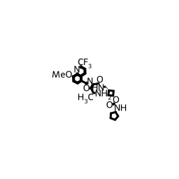 COc1ccc(-c2nc(C(=O)NC[C@H]3C[C@@H](OC(=O)NC4CCCC4)C3)c([C@H](C)N)o2)c2ccc(C(F)(F)F)nc12